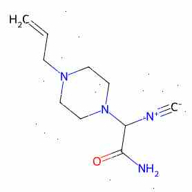 [C-]#[N+]C(C(N)=O)N1CCN(CC=C)CC1